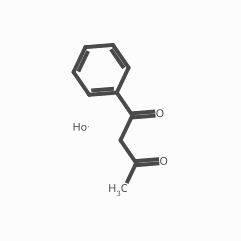 CC(=O)CC(=O)c1ccccc1.[Ho]